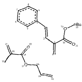 C=C(C=Cc1ccccc1)C(=O)OCCCC.C=CCOC(=O)C(=C)C